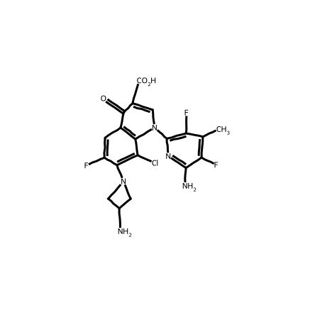 Cc1c(F)c(N)nc(-n2cc(C(=O)O)c(=O)c3cc(F)c(N4CC(N)C4)c(Cl)c32)c1F